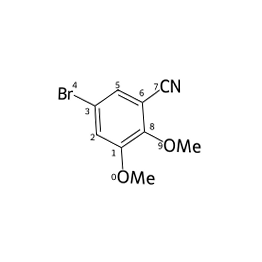 COc1cc(Br)cc(C#N)c1OC